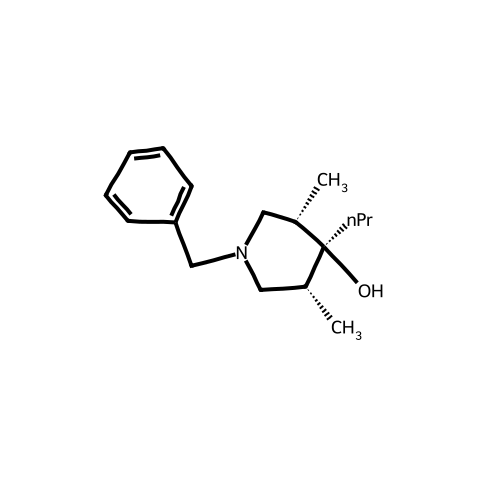 CCC[C@]1(O)[C@H](C)CN(Cc2ccccc2)C[C@@H]1C